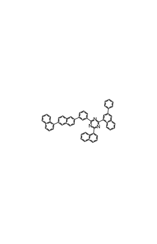 c1ccc(-c2cc(-c3nc(-c4cccc(-c5ccc6cc(-c7cccc8ccccc78)ccc6c5)c4)nc(-c4cccc5ccccc45)n3)c3ccccc3c2)cc1